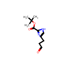 CC(C)(C)OC(=O)c1nc(CCC=O)c[nH]1